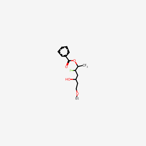 CCOCCC(O)CC(F)C(OC(=O)c1cc[c]cc1)C(F)(F)F